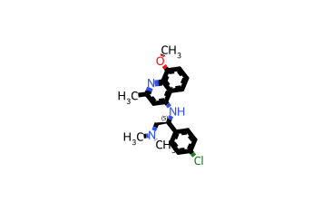 COc1cccc2c(N[C@H](CN(C)C)c3ccc(Cl)cc3)cc(C)nc12